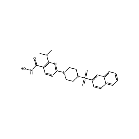 CN(C)c1nc(N2CCN(S(=O)(=O)c3ccc4ccccc4c3)CC2)ncc1C(=O)NO